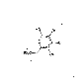 O=C(O)Cc1cc(O)c(Br)c(Br)c1O